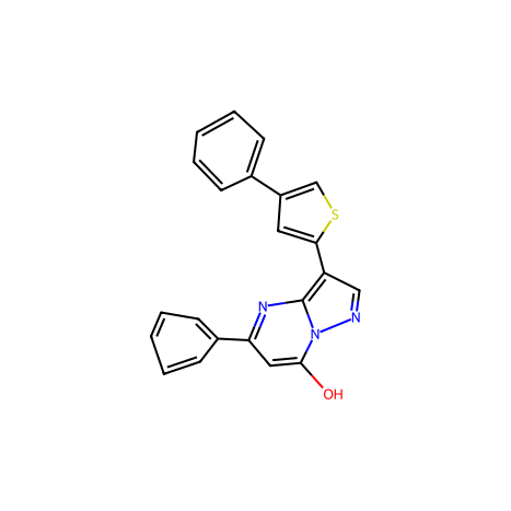 Oc1cc(-c2ccccc2)nc2c(-c3cc(-c4ccccc4)cs3)cnn12